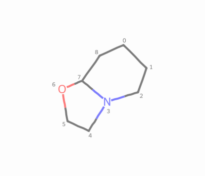 C1CCN2CCOC2C1